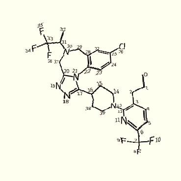 CCCc1ccc(C(F)(F)F)nc1N1CCC(c2nnc3n2-c2ccc(Cl)cc2CN(C(C)C(F)(F)F)C3)CC1